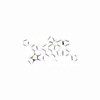 CC(C)c1cc(N(c2c(F)cc(-c3ccccc3)cc2-c2ccccc2)c2cccc3c2sc2ccccc23)c2ccc3ccc(N(c4c(F)cc(-c5ccccc5)cc4-c4ccccc4)c4cccc5c4sc4ccccc45)c4ccc1c2c34